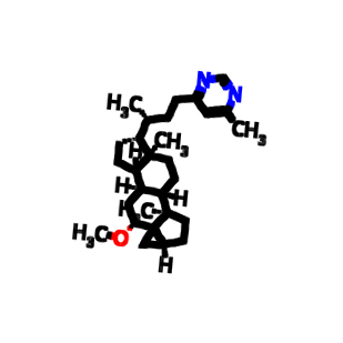 CO[C@@H]1C[C@H]2[C@@H]3CC[C@H]([C@H](C)CCc4cc(C)ncn4)[C@@]3(C)CC[C@@H]2[C@@]2(C)CC[C@@H]3CC312